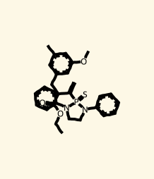 C=C(C(Cc1cc(C)cc(OC)c1)C(=O)OCC)P1(=S)N(c2ccccc2)CCN1c1ccccc1